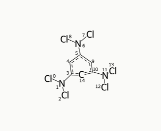 ClN(Cl)c1cc(N(Cl)Cl)cc(N(Cl)Cl)c1